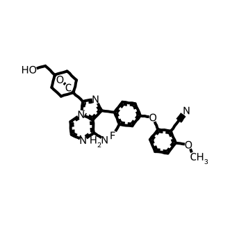 COc1cccc(Oc2ccc(-c3nc(C45CCC(CO)(CC4)OC5)n4ccnc(N)c34)c(F)c2)c1C#N